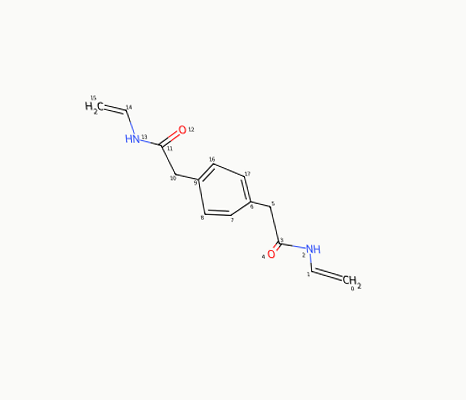 C=CNC(=O)Cc1ccc(CC(=O)NC=C)cc1